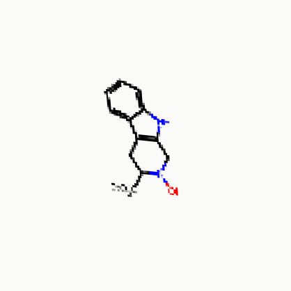 CCOC(=O)C1Cc2c([nH]c3ccccc23)CN1O